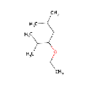 C[CH]OC(CC(C)C)C(C)C